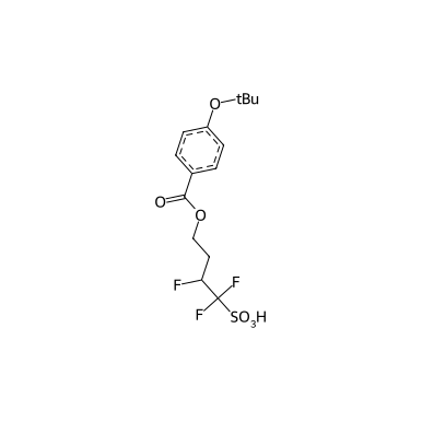 CC(C)(C)Oc1ccc(C(=O)OCCC(F)C(F)(F)S(=O)(=O)O)cc1